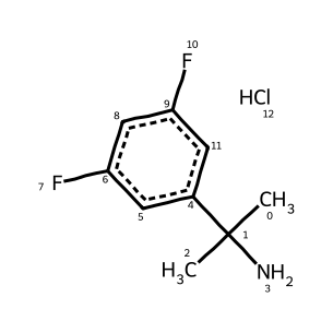 CC(C)(N)c1cc(F)cc(F)c1.Cl